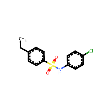 CCc1ccc(S(=O)(=O)Nc2ccc(Cl)cc2)cc1